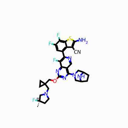 C[C@@]1(F)CCN(CC2(COc3nc(N4CC5CCC(C4)N5)c4cnc(-c5cc(F)c(F)c6sc(N)c(C#N)c56)c(F)c4n3)CC2)C1